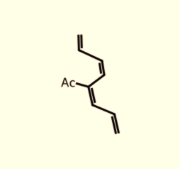 C=C/C=C\C(=C/C=C)C(C)=O